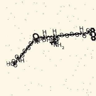 CC(C)[C@H](NC(=O)[C@@H](CCCCNC(=O)COC1CCCCCc2c1nnn2CCOCCOCCOCCOCCC(=O)NCCS(=O)(=O)O)NC(=O)CCOCCOCCOCCOCCNC(=O)CCC(=O)N1Cc2ccccc2C#Cc2ccccc21)C(N)=O